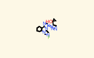 OC1(c2cnnn2N2C=NC3c4ccccc4N4CN(F)C=C4N32)CC1